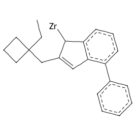 CCC1(CC2=Cc3c(-c4ccccc4)cccc3[CH]2[Zr])CCC1